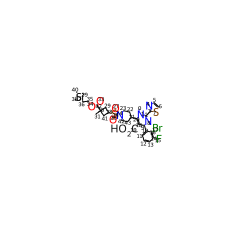 CN1C(c2nccs2)=NC(c2cccc(F)c2Br)C(C(=O)O)=C1C1CCN(S(=O)(=O)C2CC(C)(C(=O)OCC[Si](C)(C)C)C2)CC1